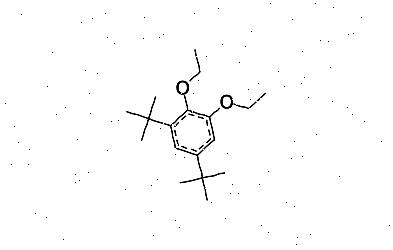 CCOc1cc(C(C)(C)C)cc(C(C)(C)C)c1OCC